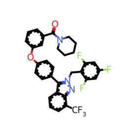 O=C(c1cccc(Oc2ccc(-c3c4cccc(C(F)(F)F)c4nn3Cc3c(F)cc(F)cc3F)cc2)c1)N1CCCCC1